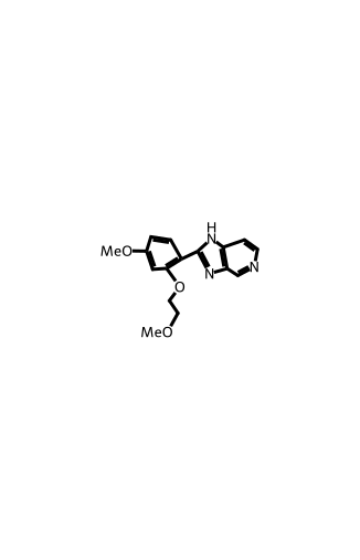 COCCOc1cc(OC)ccc1-c1nc2cnccc2[nH]1